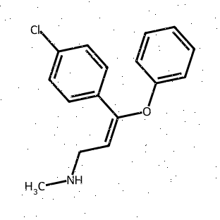 CNCC=C(Oc1ccccc1)c1ccc(Cl)cc1